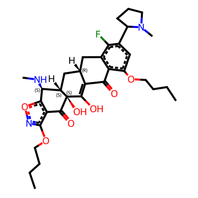 CCCCOc1cc(C2CCCN2C)c(F)c2c1C(=O)C1=C(O)[C@]3(O)C(=O)c4c(OCCCC)noc4[C@@H](NC)[C@@H]3C[C@@H]1C2